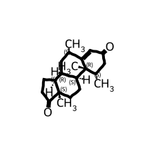 C[C@H]1C[C@@H]2[C@H](CC[C@]3(C)C(=O)CC[C@@H]23)[C@]2(C)C1=CC(=O)C[C@@H]2C